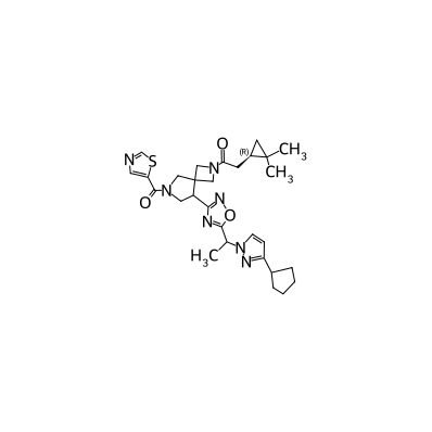 CC(c1nc(C2CN(C(=O)c3cncs3)CC23CN(C(=O)C[C@H]2CC2(C)C)C3)no1)n1ccc(C2CCCC2)n1